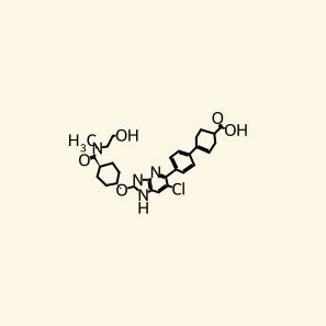 CN(CCO)C(=O)[C@H]1CC[C@H](Oc2nc3nc(-c4ccc(C5=CCC(C(=O)O)CC5)cc4)c(Cl)cc3[nH]2)CC1